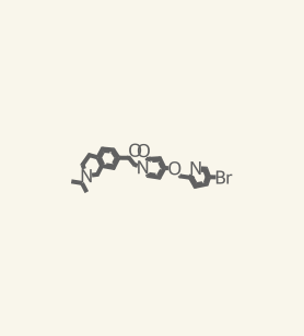 CC(C)N1CCc2ccc(C(=O)Cn3ccc(OCc4ccc(Br)cn4)cc3=O)cc2C1